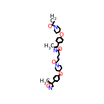 C=CC(=O)N1CCC(Oc2ccc(-c3oc(C/C=C/C(=O)N4CCC(Oc5ccc(-c6cnoc6C)cc5)CC4)nc3C)cc2)CC1